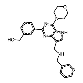 OCc1cccc(-c2nc(N3CCOCC3)c3[nH]cc(CNCc4cccnc4)c3n2)c1